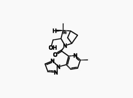 Cc1ccc(-n2nccn2)c(C(=O)N2C3CC(C3)[C@@H](C)C2CO)n1